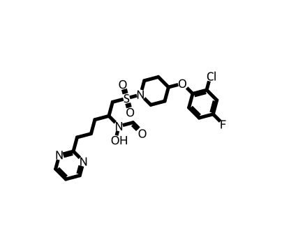 O=CN(O)C(CCCc1ncccn1)CS(=O)(=O)N1CCC(Oc2ccc(F)cc2Cl)CC1